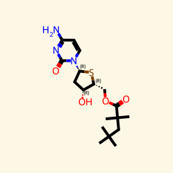 CC(C)(C)CC(C)(C)C(=O)OC[C@H]1S[C@@H](n2ccc(N)nc2=O)C[C@H]1O